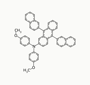 COc1ccc(N(c2ccc(OC)cc2)c2ccc3c(-c4ccc5ccccc5c4)c4ccccc4c(-c4ccc5ccccc5c4)c3c2)cc1